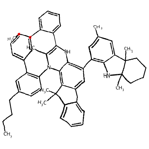 CCCCc1ccc(N2C(C)=C(c3ccccc3CCC)Bc3c(-c4cc(C)cc5c4NC4(C)CCCCC54C)cc4c(c32)C(C)(C)c2ccccc2-4)c(-c2ccccc2)c1